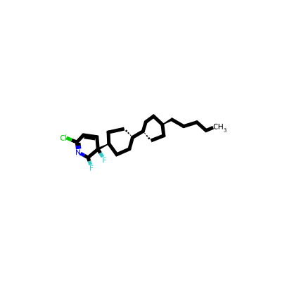 CCCCC[C@H]1CC[C@H]([C@H]2CC[C@H](C3(F)C=CC(Cl)=NC3F)CC2)CC1